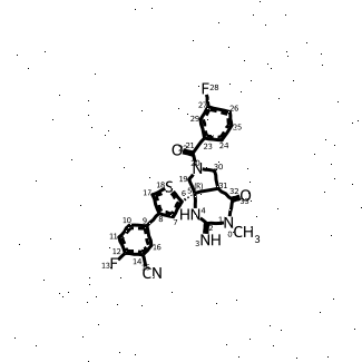 CN1C(=N)N[C@@]2(c3cc(-c4ccc(F)c(C#N)c4)cs3)CN(C(=O)c3cccc(F)c3)CC2C1=O